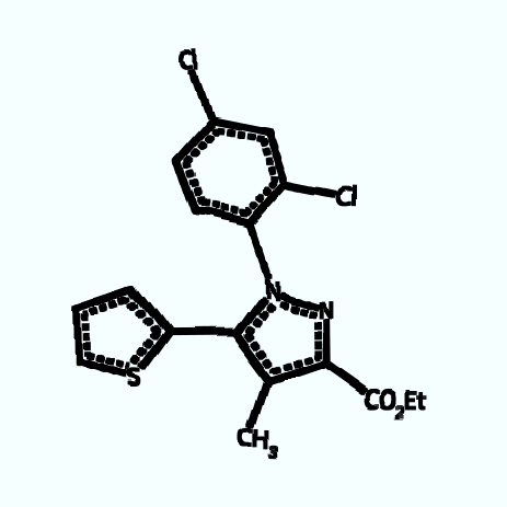 CCOC(=O)c1nn(-c2ccc(Cl)cc2Cl)c(-c2cccs2)c1C